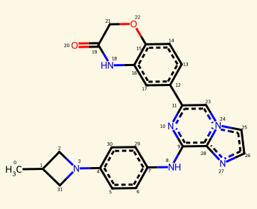 CC1CN(c2ccc(Nc3nc(-c4ccc5c(c4)NC(=O)CO5)cn4ccnc34)cc2)C1